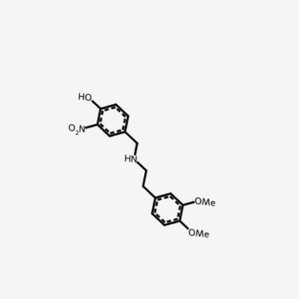 COc1ccc(CCNCc2ccc(O)c([N+](=O)[O-])c2)cc1OC